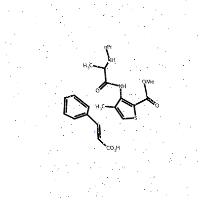 CCCNC(C)C(=O)Nc1c(C)csc1C(=O)OC.O=C(O)/C=C/c1ccccc1